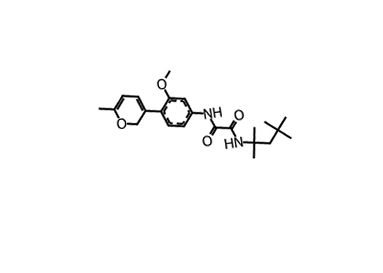 COc1cc(NC(=O)C(=O)NC(C)(C)CC(C)(C)C)ccc1C1=CC=C(C)OC1